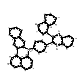 c1ccc2cc3c(cc2c1)-c1cccc2cccc(c12)N3c1ccc(-c2nc3ccccc3nc2-c2cccc3ccccc23)cc1